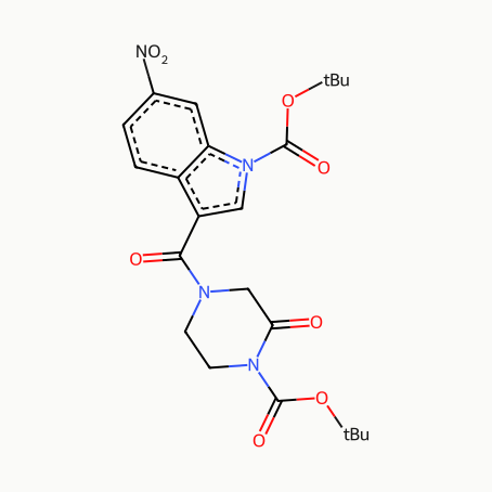 CC(C)(C)OC(=O)N1CCN(C(=O)c2cn(C(=O)OC(C)(C)C)c3cc([N+](=O)[O-])ccc23)CC1=O